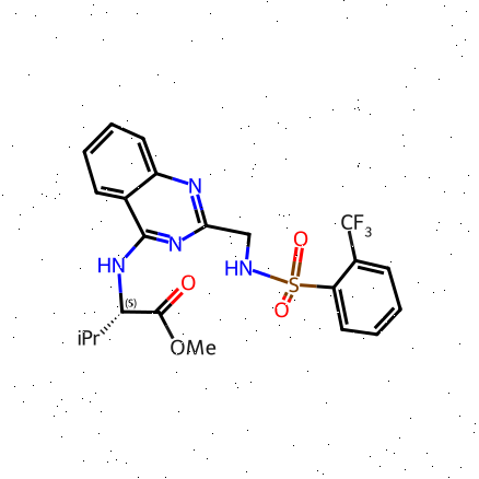 COC(=O)[C@@H](Nc1nc(CNS(=O)(=O)c2ccccc2C(F)(F)F)nc2ccccc12)C(C)C